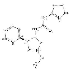 O=C(Nc1cc[nH]n1)N[C@@H]1CN(CC(F)(F)F)C[C@H]1c1cccnc1